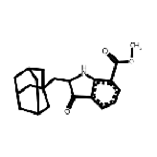 COC(=O)c1cccc2c1NC(CC13CC4CC(CC(C4)C1)C3)C2=O